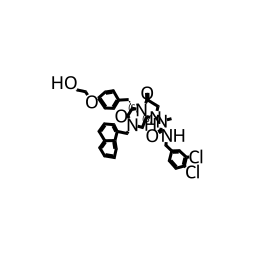 CN(C(=O)NCc1ccc(Cl)c(Cl)c1)N1CC(=O)N2[C@@H](Cc3ccc(OCCO)cc3)C(=O)N(Cc3cccc4ccccc34)C[C@@H]21